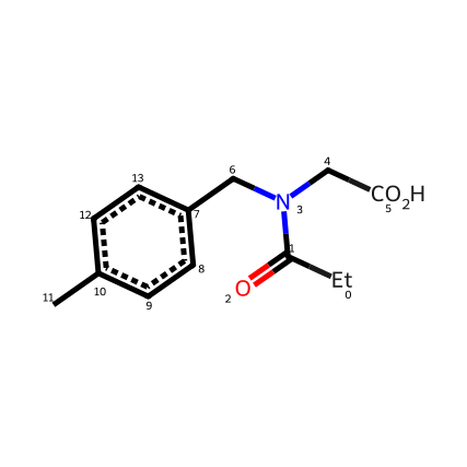 CCC(=O)N(CC(=O)O)Cc1ccc(C)cc1